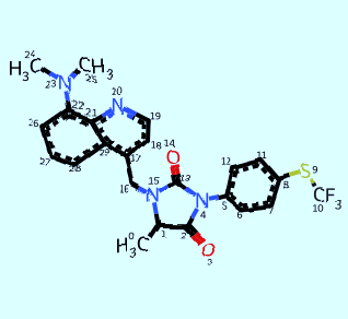 CC1C(=O)N(c2ccc(SC(F)(F)F)cc2)C(=O)N1Cc1ccnc2c(N(C)C)cccc12